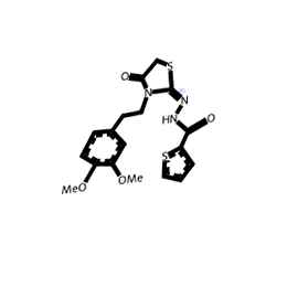 COc1ccc(CCN2C(=O)CS/C2=N/NC(=O)c2cccs2)cc1OC